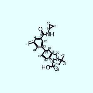 Cc1c(F)cc(C(=O)NC2CC2)cc1-c1ccc2c(c1)CN(C(C)(C)C)N2C(=O)O